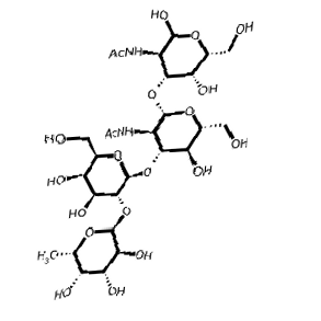 CC(=O)N[C@H]1[C@H](O[C@H]2[C@@H](O)[C@@H](CO)OC(O)[C@@H]2NC(C)=O)O[C@H](CO)[C@@H](O)[C@@H]1O[C@@H]1O[C@H](CO)[C@H](O)[C@H](O)[C@H]1O[C@@H]1O[C@@H](C)[C@@H](O)[C@@H](O)[C@@H]1O